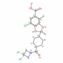 COC(=O)c1cc(Cl)c2c(c1C)OC(C)(C1CCC(C(=O)N3CC(F)(F)C3)CC1)O2